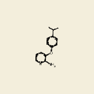 CC(C)c1ccc(Oc2cccnc2N)cc1